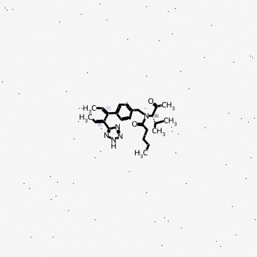 C/C=C(\C(=C/C)c1nn[nH]n1)c1ccc(CN(C(=O)CCCC)[C@H](C(C)=O)C(C)C)cc1